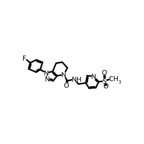 CS(=O)(=O)c1ccc(CNC(=O)N2CCCc3c2cnn3-c2ccc(F)cc2)cn1